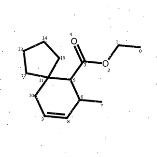 CCOC(=O)C1C(C)C=CCC12CCCC2